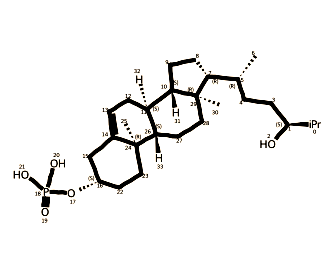 CC(C)[C@@H](O)CC[C@@H](C)[C@H]1CC[C@H]2[C@@H]3CC=C4C[C@@H](OP(=O)(O)O)CC[C@]4(C)[C@H]3CC[C@]12C